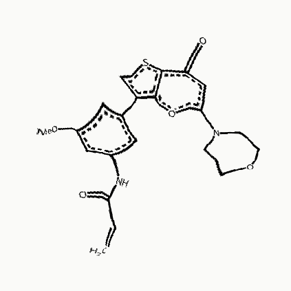 C=CC(=O)Nc1cc(OC)cc(-c2csc3c(=O)cc(N4CCOCC4)oc23)c1